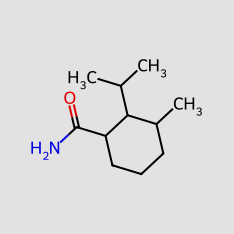 CC(C)C1C(C)CCCC1C(N)=O